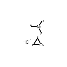 C1CO1.CN(C)C.Cl